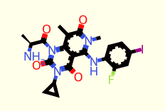 Cc1c(=O)n(C)c(Nc2ccc(I)cc2F)c2c(=O)n(C3CC3)c(=O)n(C(=O)[C@H](C)N)c12